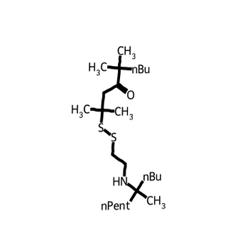 CCCCCC(C)(CCCC)NCCSSC(C)(C)CC(=O)C(C)(C)CCCC